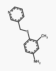 Cc1cc(N)ccc1SCc1cccnc1